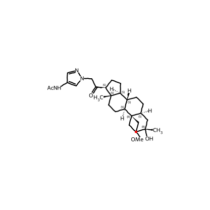 COCC[C@]12CC[C@@](C)(O)C[C@@H]1CC[C@H]1[C@@H]3CC[C@H](C(=O)Cn4cc(NC(C)=O)cn4)[C@@]3(C)CC[C@@H]12